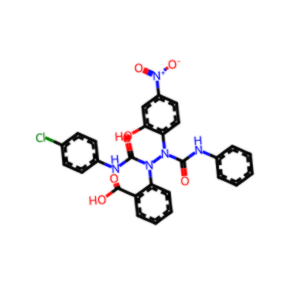 O=C(O)c1ccccc1N(C(=O)Nc1ccc(Cl)cc1)N(C(=O)Nc1ccccc1)c1ccc([N+](=O)[O-])cc1O